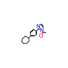 CC(=O)n1ccnc1-c1ccc(C2CCCCCC2)cc1